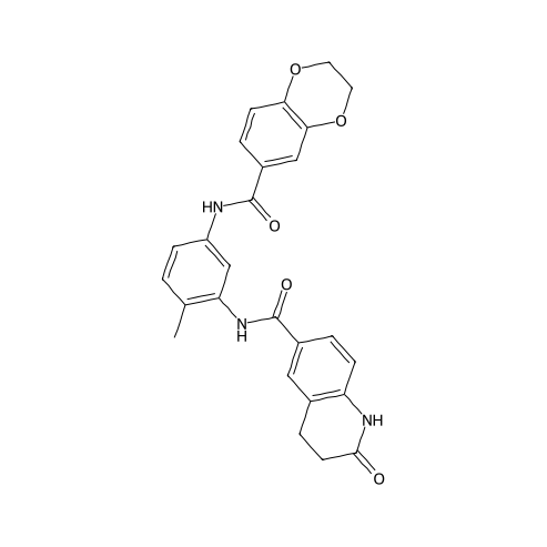 Cc1ccc(NC(=O)c2ccc3c(c2)OCCO3)cc1NC(=O)c1ccc2c(c1)CCC(=O)N2